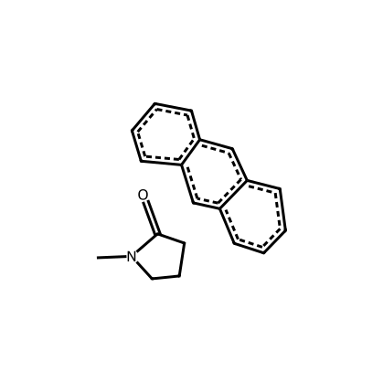 CN1CCCC1=O.c1ccc2cc3ccccc3cc2c1